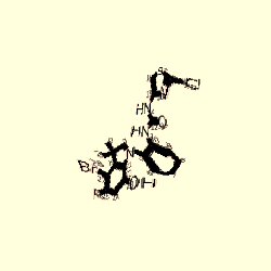 CC1(C)CN(c2ccccc2NC(=O)Nc2csc(Cl)n2)c2c(O)cc(F)c(Br)c21